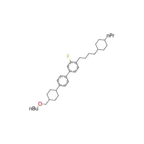 CCCCOCC1CCC(c2ccc(-c3ccc(CCCCC4CCC(CCC)CC4)c(F)c3)cc2)CC1